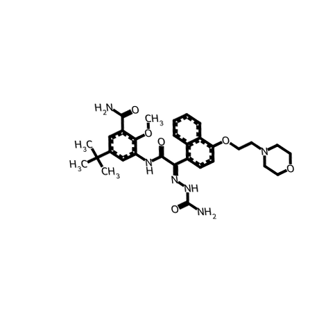 COc1c(NC(=O)/C(=N/NC(N)=O)c2ccc(OCCN3CCOCC3)c3ccccc23)cc(C(C)(C)C)cc1C(N)=O